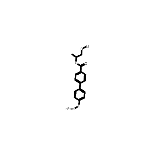 CCCCCOc1ccc(-c2ccc(C(=O)OC(C)COCC)cc2)cc1